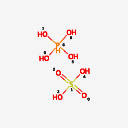 O=S(=O)(O)O.O[PH](O)(O)O